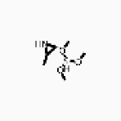 CC1CN1.CO[SiH](OC)OC